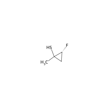 CC1(S)C[C@H]1F